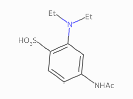 CCN(CC)c1cc(NC(C)=O)[c]cc1S(=O)(=O)O